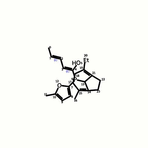 C/C=C/C=C(\O)P(c1ccc(C)o1)C1C2=C(C)CCC(CC)=C1CC2